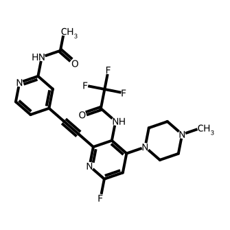 CC(=O)Nc1cc(C#Cc2nc(F)cc(N3CCN(C)CC3)c2NC(=O)C(F)(F)F)ccn1